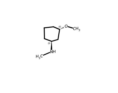 CN[C@H]1CCC[C@H](OC)C1